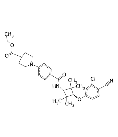 CCOC(=O)C1CCN(c2ccc(C(=O)N[C@H]3C(C)(C)[C@H](Oc4ccc(C#N)c(Cl)c4)C3(C)C)cc2)CC1